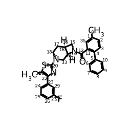 Cc1ccc(-c2ccccc2)c(C(=O)N2C[C@@H]3CCN(c4nc(-c5cccc(F)c5)c(C)s4)C[C@@H]32)c1